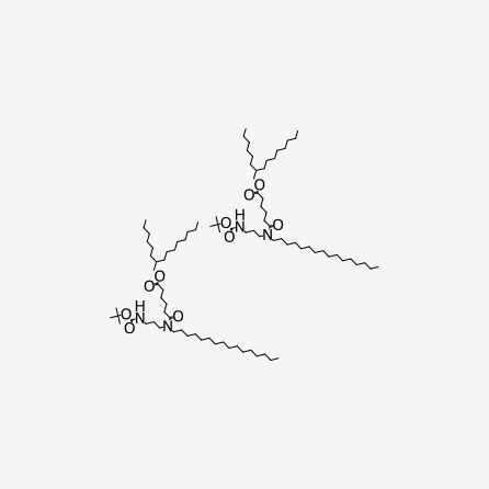 CCCCCCCCCCCCCCCCN(CCCNC(=O)OC(C)(C)C)C(=O)CCCCC(=O)OCC(CCCCCC)CCCCCCCC.CCCCCCCCCCCCCCCCN(CCCNC(=O)OC(C)(C)C)C(=O)CCCCC(=O)OCC(CCCCCC)CCCCCCCC